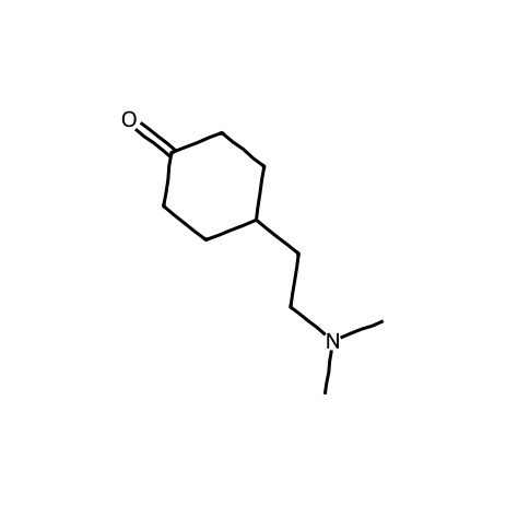 CN(C)CCC1CCC(=O)CC1